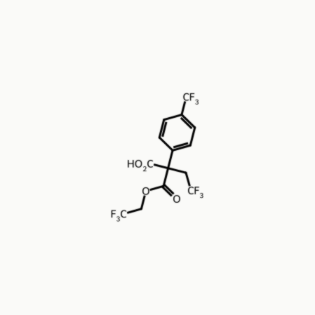 O=C(O)C(CC(F)(F)F)(C(=O)OCC(F)(F)F)c1ccc(C(F)(F)F)cc1